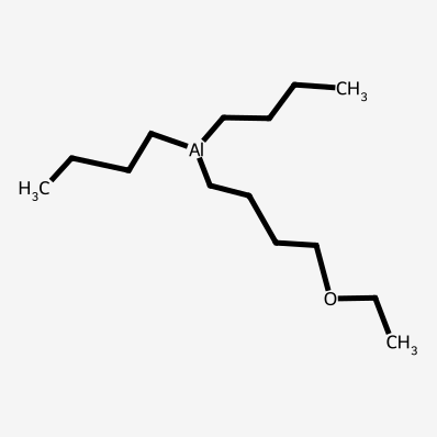 CCC[CH2][Al]([CH2]CCC)[CH2]CCCOCC